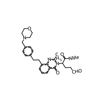 CNC(=O)C(CCC=O)n1c(C)nc2c(CCc3ccc(CN4CCOCC4)cc3)cccc2c1=O